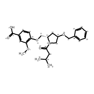 COc1cc(C(=O)O)ccc1OC[C@@H]1CC(OCc2ccccc2)CN1C(=O)CC(C)C